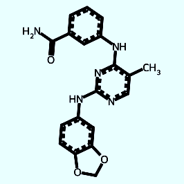 Cc1cnc(Nc2ccc3c(c2)OCO3)nc1Nc1cccc(C(N)=O)c1